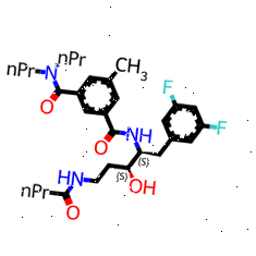 CCCC(=O)NCC[C@H](O)[C@H](Cc1cc(F)cc(F)c1)NC(=O)c1cc(C)cc(C(=O)N(CCC)CCC)c1